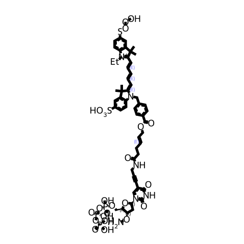 CC[N+]1=C(/C=C/C=C/C=C2/N(Cc3ccc(C(=O)OC/C=C/CCC(=O)NCC#Cc4cn([C@H]5C[C@@H](ON)[C@@H](COP(=O)(O)OP(=O)(O)OP(=O)(O)O)O5)c(=O)[nH]c4=O)cc3)c3ccc(S(=O)(=O)O)cc3C2(C)C)C(C)(C)c2cc(SOOO)ccc21